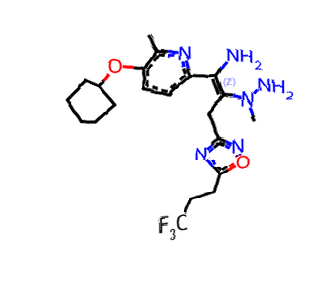 Cc1nc(/C(N)=C(\Cc2noc(CCC(F)(F)F)n2)N(C)N)ccc1OC1CCCCC1